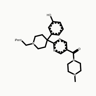 CCCC(C)CN1CCC(c2cccc(O)c2)(c2ncc(C(=O)N3CCN(C)CC3)cn2)CC1